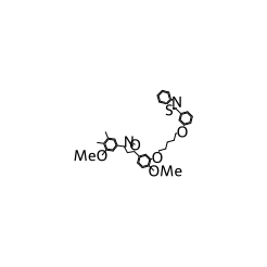 COc1ccc(C2CC(c3cc(C)c(C)c(OC)c3)=NO2)cc1OCCCCCOc1cccc(-c2nc3ccccc3s2)c1